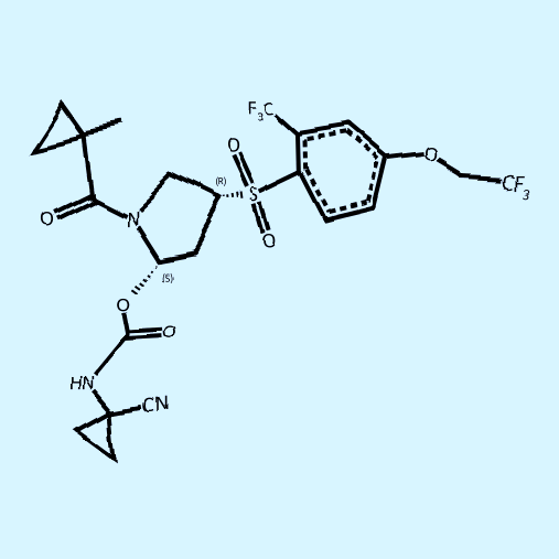 CC1(C(=O)N2C[C@H](S(=O)(=O)c3ccc(OCC(F)(F)F)cc3C(F)(F)F)C[C@@H]2OC(=O)NC2(C#N)CC2)CC1